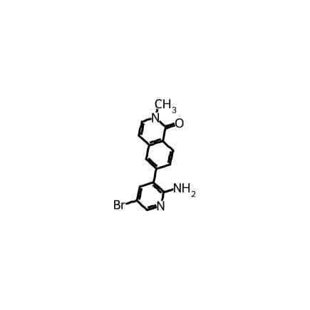 Cn1ccc2cc(-c3cc(Br)cnc3N)ccc2c1=O